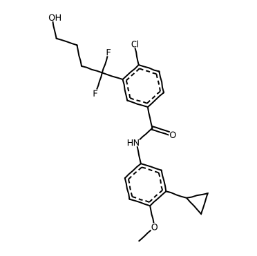 COc1ccc(NC(=O)c2ccc(Cl)c(C(F)(F)CCCO)c2)cc1C1CC1